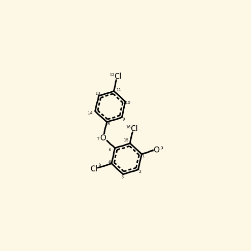 [O]c1ccc(Cl)c(Oc2ccc(Cl)cc2)c1Cl